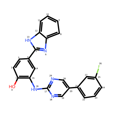 Oc1ccc(-c2nc3ccccc3[nH]2)cc1Nc1ncc(-c2cccc(F)c2)cn1